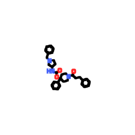 O=C(NC1CCN(Cc2ccccc2)C1)OC1(c2ccccc2)CCN(C(=O)CCc2ccccc2)CC1